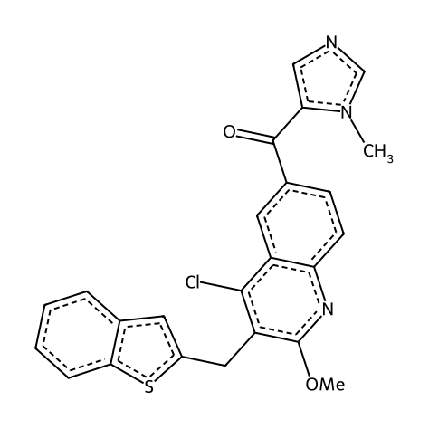 COc1nc2ccc(C(=O)c3cncn3C)cc2c(Cl)c1Cc1cc2ccccc2s1